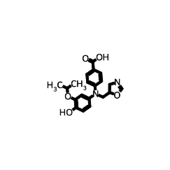 CC(C)Oc1cc(N(CC2CN=CO2)c2ccc(C(=O)O)cc2)ccc1O